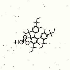 CCC(C)(C)c1cc(C(C)(C)CC)c(-c2cc(OP(O)O)c(C(C)(C)CC)c(C)c2-c2cc(C)c(C(C)(C)CC)cc2C(C)(C)CC)cc1C